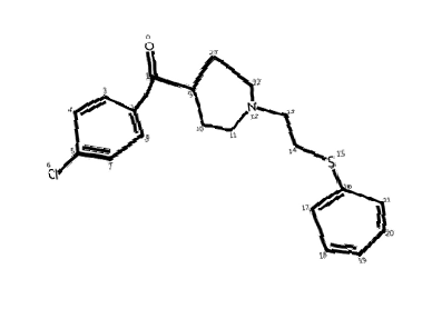 O=C(c1ccc(Cl)cc1)C1CCN(CCSc2ccccc2)CC1